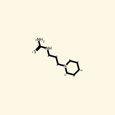 NC(=S)NCCCN1CCCCC1